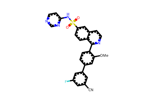 COc1cc(-c2cc(F)cc(C#N)c2)ccc1-c1nccc2cc(S(=O)(=O)Nc3ccncn3)ccc12